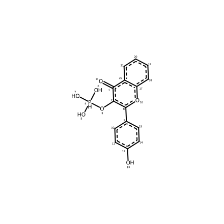 O=c1c(O[PH](O)(O)O)c(-c2ccc(O)cc2)oc2ccccc12